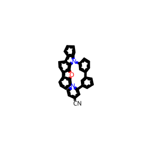 N#Cc1ccnc(-c2cccc(-c3cccc(-n4c5ccccc5c5ccc6c7ccccc7oc6c54)c3)c2)c1